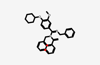 C=C(c1ccccc1)N(Cc1ccccc1)/C(=N\Cc1ccccc1)c1ccc(OC2CCCCC2)c(OC)c1